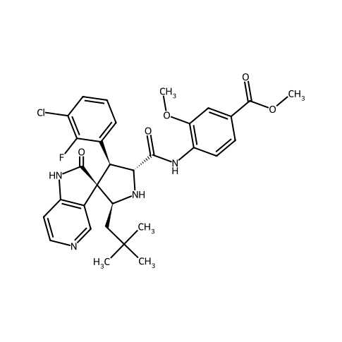 COC(=O)c1ccc(NC(=O)[C@@H]2N[C@@H](CC(C)(C)C)[C@@]3(C(=O)Nc4ccncc43)[C@H]2c2cccc(Cl)c2F)c(OC)c1